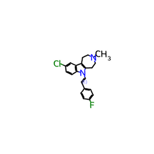 CN1CCc2c(n(/C=C/c3ccc(F)cc3)c3ccc(Cl)cc23)CC1